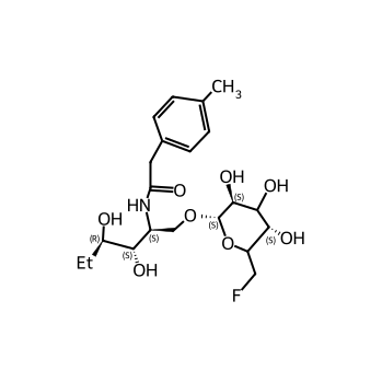 CC[C@@H](O)[C@@H](O)[C@H](CO[C@H]1OC(CF)[C@@H](O)C(O)[C@@H]1O)NC(=O)Cc1ccc(C)cc1